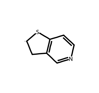 [CH]1Cc2cnccc2S1